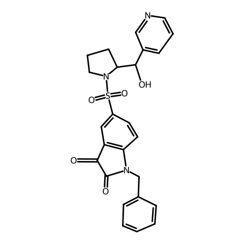 O=C1C(=O)N(Cc2ccccc2)c2ccc(S(=O)(=O)N3CCCC3C(O)c3cccnc3)cc21